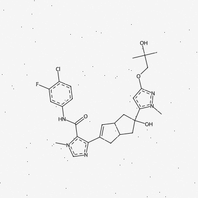 Cn1cnc(C2=CC3CC(O)(c4cc(OCC(C)(C)O)nn4C)CC3C2)c1C(=O)Nc1ccc(Cl)c(F)c1